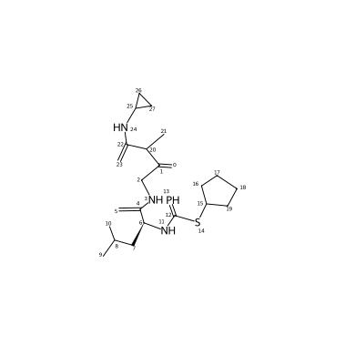 C=C(CNC(=C)[C@H](CC(C)C)NC(=P)SC1CCCC1)C(C)C(=C)NC1CC1